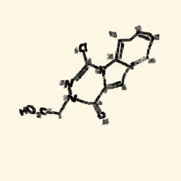 O=C(O)Cn1nc(Cl)n2c(cc3ccccc32)c1=O